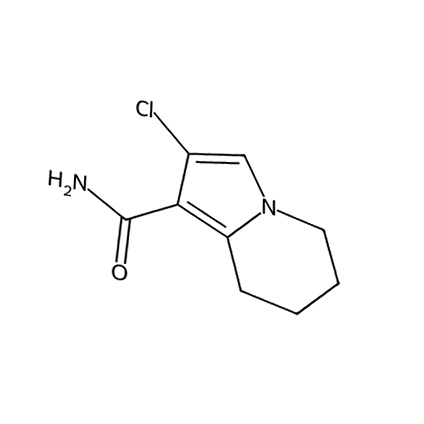 NC(=O)c1c(Cl)cn2c1CCCC2